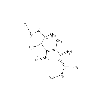 C=N/C(=C(/C)C(=N)/C=C(\C)ONC)C(C)/C(C)=N\OCC